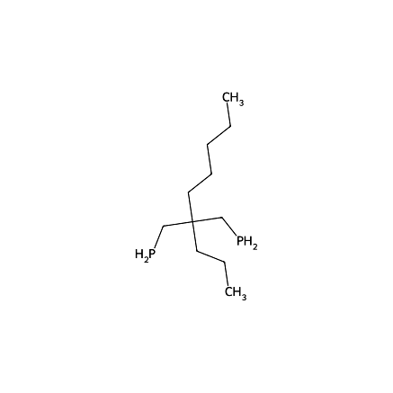 CCCCCC(CP)(CP)CCC